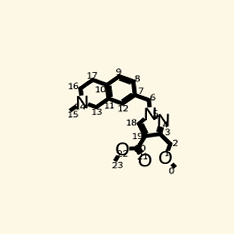 COCc1nn(Cc2ccc3c(c2)CN(C)CC3)cc1C(=O)OC